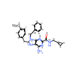 COc1ccc(CC2Nc3c(N)nc(C(=O)NCC4CC4)nc3N2Cc2ccccc2)cc1